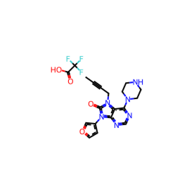 CC#CCn1c(=O)n(-c2ccoc2)c2ncnc(N3CCNCC3)c21.O=C(O)C(F)(F)F